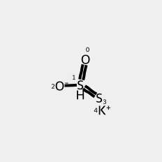 O=[SH]([O-])=S.[K+]